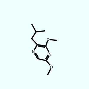 COc1cnc(CC(C)C)c(OC)n1